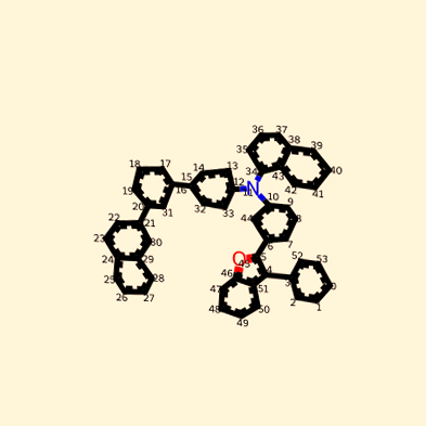 c1ccc(-c2c(-c3cccc(N(c4ccc(-c5cccc(-c6ccc7ccccc7c6)c5)cc4)c4cccc5ccccc45)c3)oc3ccccc23)cc1